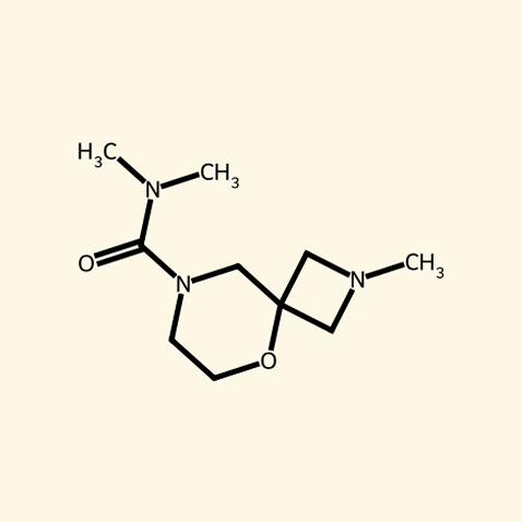 CN1CC2(C1)CN(C(=O)N(C)C)CCO2